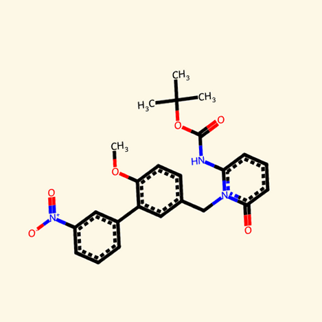 COc1ccc(Cn2c(NC(=O)OC(C)(C)C)cccc2=O)cc1-c1cccc([N+](=O)[O-])c1